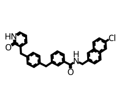 O=C(NCc1ccc2cc(Cl)ccc2c1)c1cccc(Cc2ccc(Cc3ccc[nH]c3=O)cc2)c1